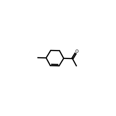 CC(=O)C1C=CC(C)CC1